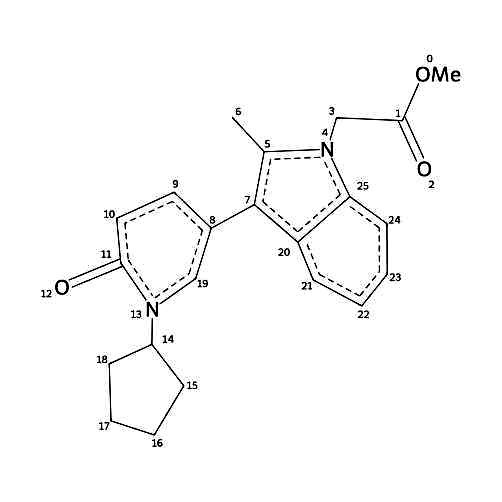 COC(=O)Cn1c(C)c(-c2ccc(=O)n(C3CCCC3)c2)c2ccccc21